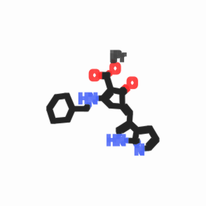 CC(C)OC(=O)C1=C(NCC2CCCCC2)C/C(=C\c2c[nH]c3ncccc23)C1=O